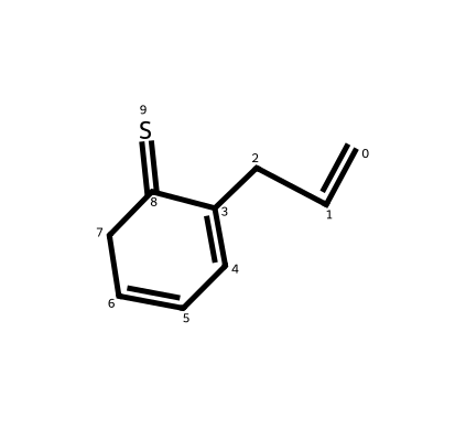 C=CCC1=CC=CCC1=S